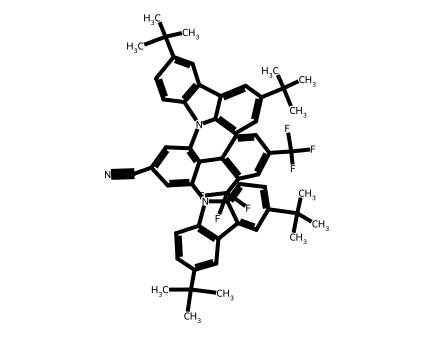 CC(C)(C)c1ccc2c(c1)c1cc(C(C)(C)C)ccc1n2-c1cc(C#N)cc(-n2c3ccc(C(C)(C)C)cc3c3cc(C(C)(C)C)ccc32)c1-c1ccc(C(F)(F)F)cc1C(F)(F)F